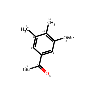 COc1cc(C(=O)C(C)(C)C)cc(C)c1C